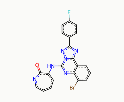 O=c1nccccc1Nc1nc2c(Br)cccc2c2nc(-c3ccc(F)cc3)nn12